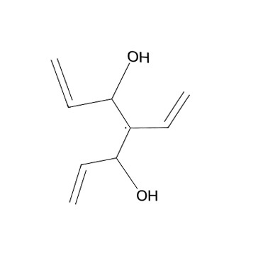 C=C[C](C(O)C=C)C(O)C=C